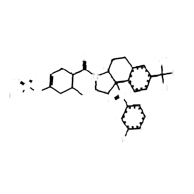 CC1CC(OS(=O)(=O)C(F)(F)F)=CCC1C(=O)N1CCC2(S(=O)(=O)c3cccc(F)c3)c3ccc(C(F)(C(F)(F)F)C(F)(F)F)cc3CCC12